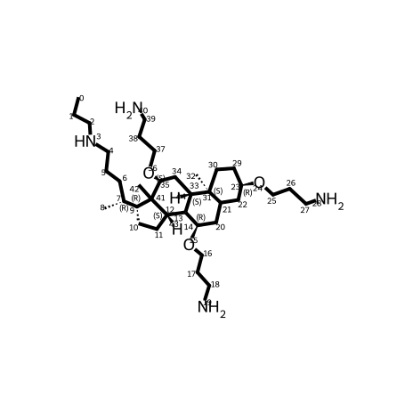 CCCNCCC[C@@H](C)[C@H]1CC[C@H]2C3[C@H](OCCCN)CC4C[C@H](OCCCN)CC[C@]4(C)[C@H]3C[C@H](OCCCN)C12C